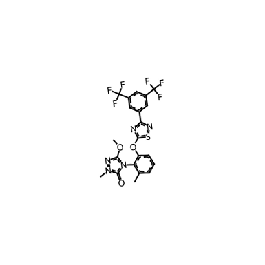 COc1nn(C)c(=O)n1-c1c(C)cccc1Oc1nc(-c2cc(C(F)(F)F)cc(C(F)(F)F)c2)ns1